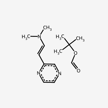 CC(C)(C)OC=O.CN(C)/C=C/c1cnccn1